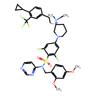 COc1ccc(CN(c2ccncn2)S(=O)(=O)c2c(F)cc(N3CCC[C@](CCc4ccc(C5CC5)c(C(F)(F)F)c4)(N(C)C)C3)cc2F)c(OC)c1